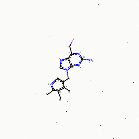 Cc1ncc(Cn2cnc3c(CI)nc(N)nc32)c(C)c1C